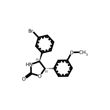 COc1cccc([C@@H]2OC(=O)N[C@H]2c2cccc(Br)c2)c1